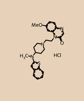 COc1ccc2ncc(=O)n(CCN3CCC(N(C)c4cc5ccccc5s4)CC3)c2c1.Cl